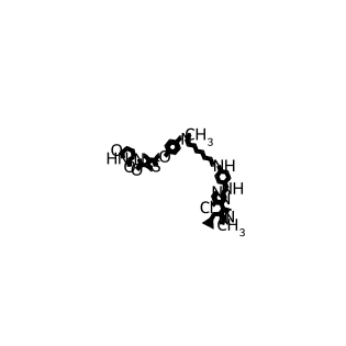 CN(CCCCCCCNC1CCC(Nc2ncc(Cl)c(-c3cnn(C)c3CC3CC3)n2)CC1)Cc1ccc(OCc2scc3c2CN(C2CCC(=O)NC2=O)C3=O)cc1